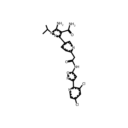 CC(C)n1nc(-c2ccc(CC(=O)Nc3cc(-c4ncc(Cl)cc4Cl)no3)nc2)c(C(N)=O)c1N